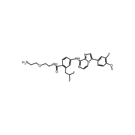 COc1ccc(-c2cnc3c(Nc4ccc(C(=O)NCCOCCN)c(CC(F)F)c4)nccn23)cc1F